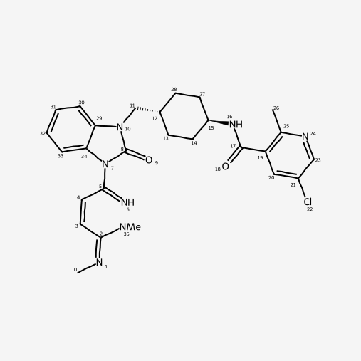 C/N=C(\C=C/C(=N)n1c(=O)n(C[C@H]2CC[C@H](NC(=O)c3cc(Cl)cnc3C)CC2)c2ccccc21)NC